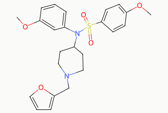 COc1ccc(S(=O)(=O)N(c2cccc(OC)c2)C2CCN(Cc3ccco3)CC2)cc1